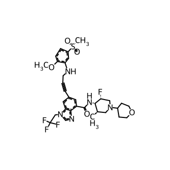 COc1ccc(S(C)(=O)=O)cc1NCC#Cc1cc(C(=O)N[C@H]2[C@H](C)CN(C3CCOCC3)C[C@H]2F)c2ncn(CC(F)(F)F)c2c1